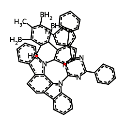 Bc1c(B)c(-c2c(-c3ccccc3)cccc2-n2c3ccccc3c3ccc4c5ccccc5n(-c5nc(-c6ccccc6)nc(-c6cccc(F)c6)n5)c4c32)c(O)c(B)c1C